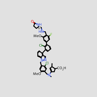 COc1cc(Cn2ncc3c(-c4cccc(-c5cc(F)c(CNC[C@@H]6CCC(=O)N6)c(OC)c5)c4Cl)cccc32)c(Cl)cc1CN(C)C1=CC(C)C(C(=O)O)C1